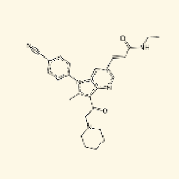 CCNC(=O)/C=C/c1cnc2c(C(=O)CN3CCCCC3)c(C)n(-c3ccc(C#N)cc3)c2c1